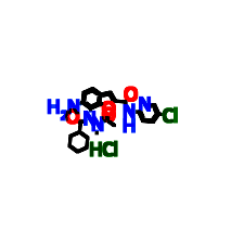 CC(=O)N(C)N(C(=O)C1CCCCC1)c1c(N)ccc2cc(C(=O)Nc3ccc(Cl)cn3)oc12.Cl